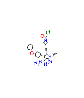 CC(C)n1c(C#CC2CN(C(=O)CCl)C2)c(-c2ccc(Oc3ccccc3)cc2)c2c(N)ncnc21